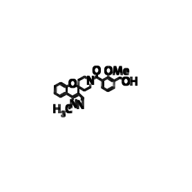 COc1c(CO)cccc1C(=O)N1CCC2(CC1)Oc1ccccc1-c1c2cnn1C